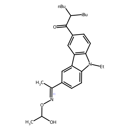 CCCCC(C(=O)c1ccc2c(c1)c1cc(/C(C)=N/OC(C)O)ccc1n2CC)C(C)CC